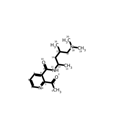 CC(=O)c1ncccc1C(=O)NC(C)CC(C)CN(C)C